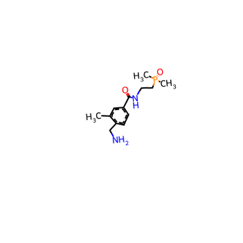 Cc1cc(C(=O)NCCP(C)(C)=O)ccc1CN